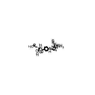 Nc1nc(N=O)c2nc(CNc3ccc(C(=O)N[C@@H](CCC(=O)O)C(=O)O)cc3)cnc2n1